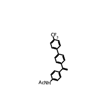 C=C(c1ccc(NC(C)=O)cc1)c1ccc(-c2ccc(C(F)(F)F)cc2)cc1